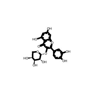 O=c1c(O[C@H]2OC[C@H](O)[C@H](O)[C@H]2O)c(-c2ccc(O)c(O)c2)oc2cc(O)cc(O)c12